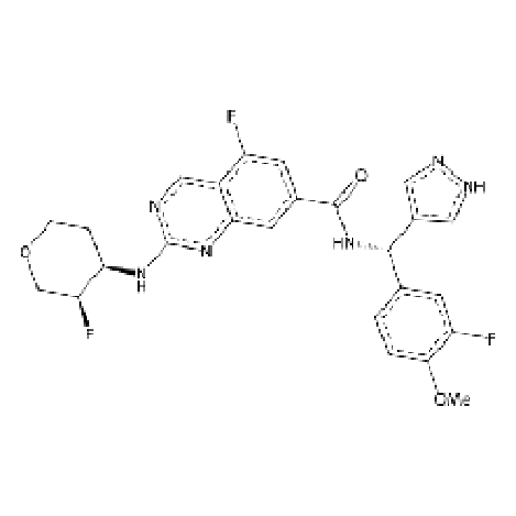 COc1ccc([C@H](NC(=O)c2cc(F)c3cnc(N[C@@H]4CCOC[C@@H]4F)nc3c2)c2cn[nH]c2)cc1F